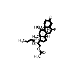 CCCC(=O)O[C@@]1(C(=O)COC(C)=O)CC[C@H]2[C@@H]3CC(F)C4=CC(=O)C=C[C@]4(C)[C@@]3(F)[C@@H](O)C[C@@]21C